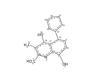 Cc1c(C(=O)O)nc2c(O)ccc(-c3ccccc3)c2c1O